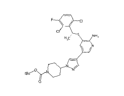 C[C@@H](Sc1cc(-c2cnn(C3CCN(C(=O)OC(C)(C)C)CC3)c2)cnc1N)c1c(Cl)ccc(F)c1Cl